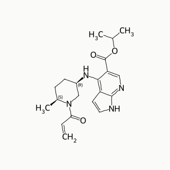 C=CC(=O)N1C[C@H](Nc2c(C(=O)OC(C)C)cnc3[nH]ccc23)CC[C@@H]1C